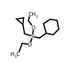 CCO[Si](CC1CCCCC1)(CC1CC1)OCC